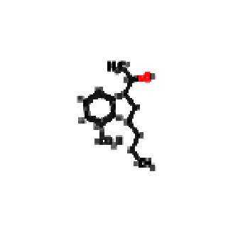 CCCCCCC(C)=O.O=C(O)c1ccccc1